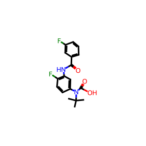 CC(C)(C)N(C(=O)O)c1ccc(F)c(NC(=O)c2cccc(F)c2)c1